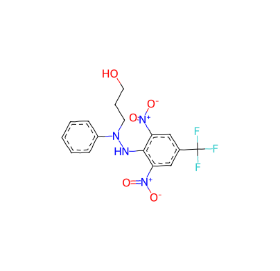 O=[N+]([O-])c1cc(C(F)(F)F)cc([N+](=O)[O-])c1NN(CCCO)c1ccccc1